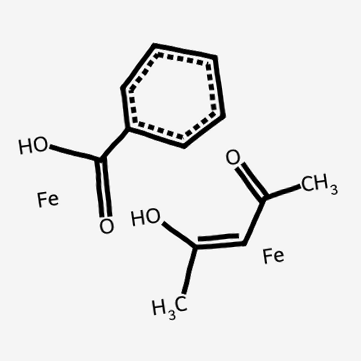 CC(=O)/C=C(/C)O.O=C(O)c1ccccc1.[Fe].[Fe]